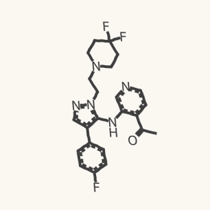 CC(=O)c1ccncc1Nc1c(-c2ccc(F)cc2)cnn1CCN1CCC(F)(F)CC1